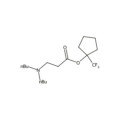 CCCCN(CCCC)CCC(=O)OC1(C(F)(F)F)CCCC1